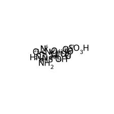 Nc1nc2c(ncn2[C@@H]2O[C@H](COS(=O)(=O)OS(=O)(=O)O)[C@@H](O)[C@H]2S)c(=O)[nH]1